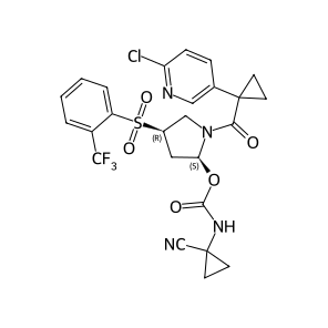 N#CC1(NC(=O)O[C@H]2C[C@@H](S(=O)(=O)c3ccccc3C(F)(F)F)CN2C(=O)C2(c3ccc(Cl)nc3)CC2)CC1